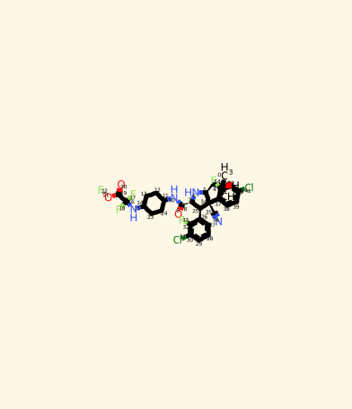 CC(C)(C)C[C@@H]1N[C@@H](C(=O)NC2CCC(NC(F)(F)C(=O)OF)CC2)[C@H](c2cccc(Cl)c2F)[C@@]1(C#N)c1ccc(Cl)cc1F